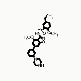 CCc1ccc(OC)c(S(=O)(=O)Nc2noc3cc(-c4cccc(N5CCNCC5)c4)cc(OC)c23)c1